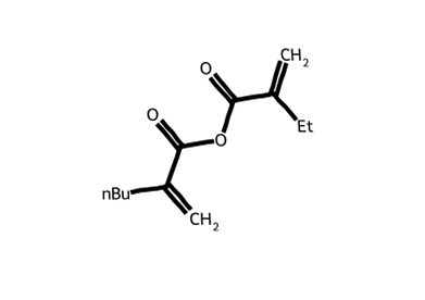 C=C(CC)C(=O)OC(=O)C(=C)CCCC